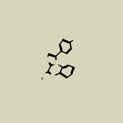 COc1nc2ccccc2n2c(-c3ccc(O)cc3)cnc12